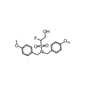 COc1ccc(CN(Cc2ccc(OC)cc2)S(=O)(=O)C(F)CO)cc1